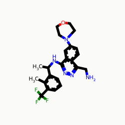 Cc1c(C(C)Nc2nnc(CN)c3ccc(N4CCOCC4)cc23)cccc1C(F)(F)F